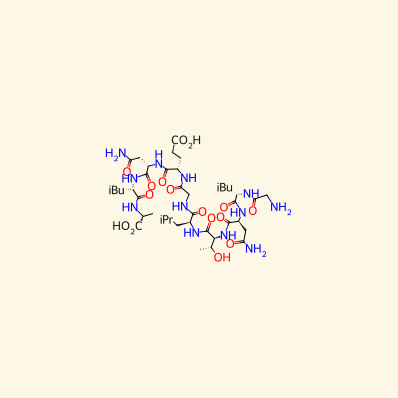 CC[C@H](C)[C@H](NC(=O)CN)C(=O)N[C@@H](CC(N)=O)C(=O)N[C@H](C(=O)N[C@@H](CC(C)C)C(=O)NCC(=O)N[C@@H](CCC(=O)O)C(=O)N[C@@H](CC(N)=O)C(=O)N[C@H](C(=O)N[C@@H](C)C(=O)O)[C@@H](C)CC)[C@@H](C)O